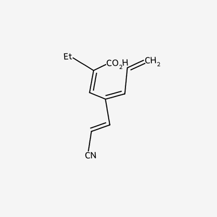 C=CC=C(C=CC#N)C=C(CC)C(=O)O